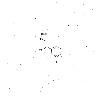 CCC[C@@H](C)NCC(O)c1cccc(F)c1